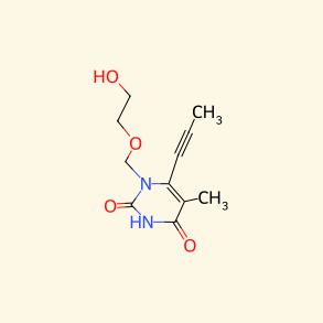 CC#Cc1c(C)c(=O)[nH]c(=O)n1COCCO